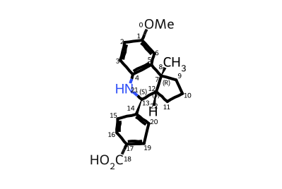 COc1ccc2c(c1)[C@]1(C)CCC[C@@H]1[C@@H](c1ccc(C(=O)O)cc1)N2